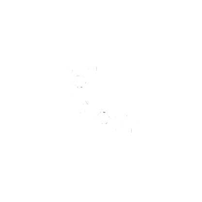 COc1cc(C/C=C(/Cl)Cc2cc(C)cc(OC(=O)C(C)(C)C)c2)c(OC)cc1Cl